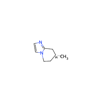 C[C@@H]1CCn2ccnc2C1